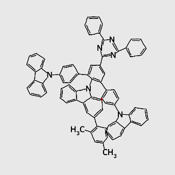 Cc1ccc(-c2ccc3c(c2)c2ccccc2n3-c2c(-c3ccc(-n4c5ccccc5c5ccccc54)cc3)cc(-c3nc(-c4ccccc4)nc(-c4ccccc4)n3)cc2-c2ccc(-n3c4ccccc4c4ccccc43)cc2)c(C)c1